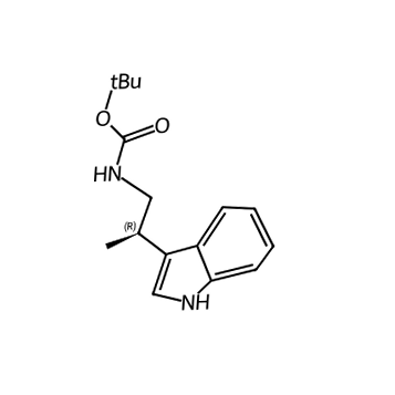 C[C@@H](CNC(=O)OC(C)(C)C)c1c[nH]c2ccccc12